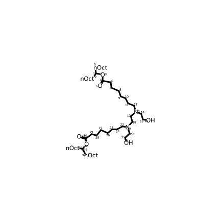 CCCCCCCCC(CCCCCCCC)OC(=O)CCCCCCCN(CCO)CCN(CCO)CCCCCCCC(=O)OC(CCCCCCCC)CCCCCCCC